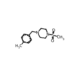 Cc1ccc(CN2CCN(S(C)(=O)=O)CC2)cc1